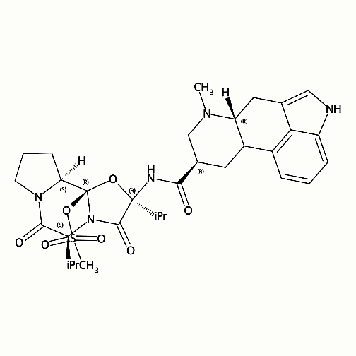 CC(C)[C@H]1C(=O)N2CCC[C@H]2[C@]2(OS(C)(=O)=O)O[C@](NC(=O)[C@@H]3CC4c5cccc6[nH]cc(c56)C[C@H]4N(C)C3)(C(C)C)C(=O)N12